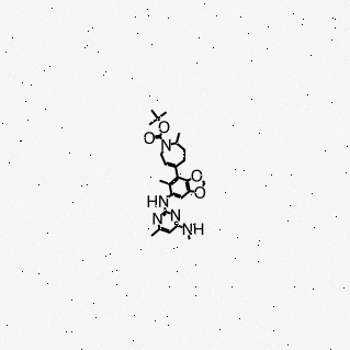 CNc1cc(C)nc(Nc2cc3c(c(C4=CCN(C(=O)OC(C)(C)C)C(C)CC4)c2C)OCO3)n1